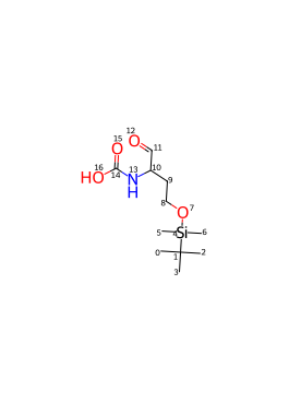 CC(C)(C)[Si](C)(C)OCCC(C=O)NC(=O)O